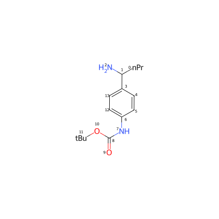 CCCC(N)c1ccc(NC(=O)OC(C)(C)C)cc1